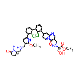 COC(=O)[C@@H](CO)NCc1cnc2cc(-c3cccc(-c4cccc(-c5ccc(CNC[C@H]6CCC(=O)N6)c(OC)n5)c4Cl)c3Cl)ccn2c1=O